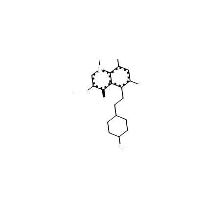 CCOC(=O)c1cn(C)c2c(F)cc(F)c(CCC3CCC(N)CC3)c2c1=O